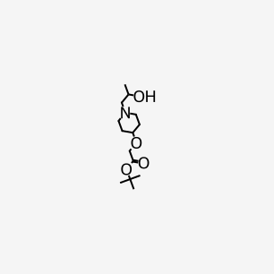 CC(O)CN1CCC(OCC(=O)OC(C)(C)C)CC1